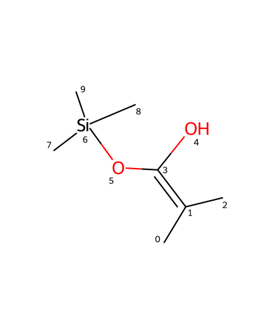 CC(C)=C(O)O[Si](C)(C)C